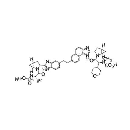 COC(=O)N[C@H](C(=O)N1[C@@H]2C[C@H]2C[C@H]1c1nc2cc(CCc3ccc4c(ccc5nc([C@@H]6C[C@H]7C[C@H]7N6C(=O)[C@H](C6CCOCC6)N(C)C(=O)O)[nH]c54)c3)ccc2[nH]1)C(C)C